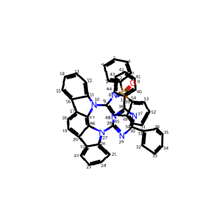 O=S1(c2ccccc2)=NC(n2c3ccccc3c3ccc4c5ccccc5n(-c5nc(-c6ccccc6)nc(-c6ccccc6)n5)c4c32)=Cc2ccccc21